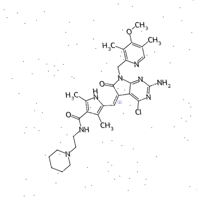 COc1c(C)cnc(CN2C(=O)/C(=C\c3[nH]c(C)c(C(=O)NCCN4CCCCC4)c3C)c3c(Cl)nc(N)nc32)c1C